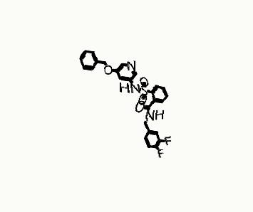 O=C(NCc1ccc(F)c(F)c1)c1ccccc1S(=O)(=O)Nc1cncc(OCc2ccccc2)c1